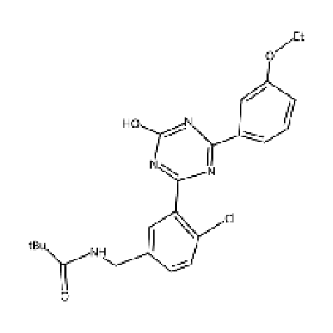 CCOc1cccc(-c2nc(O)nc(-c3cc(CNC(=O)C(C)(C)C)ccc3Cl)n2)c1